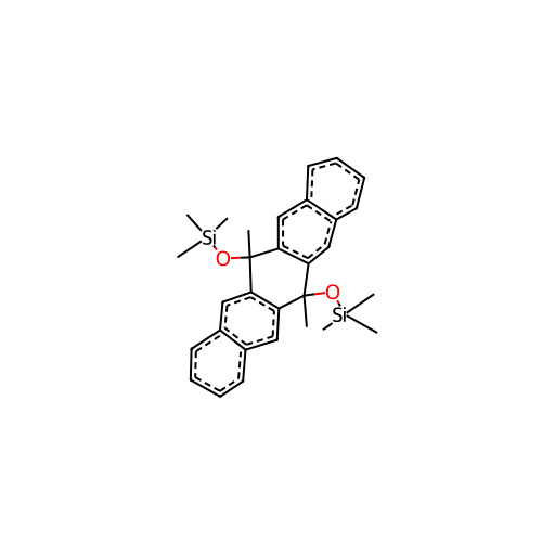 CC1(O[Si](C)(C)C)c2cc3ccccc3cc2C(C)(O[Si](C)(C)C)c2cc3ccccc3cc21